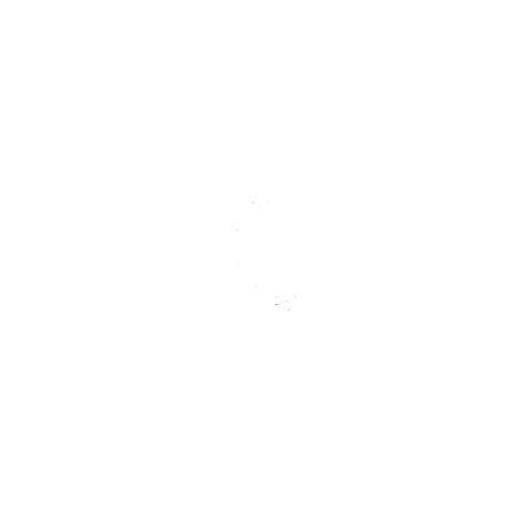 [O-2].[O-2].[O-2].[O-2].[Pt+4].[Zr+4]